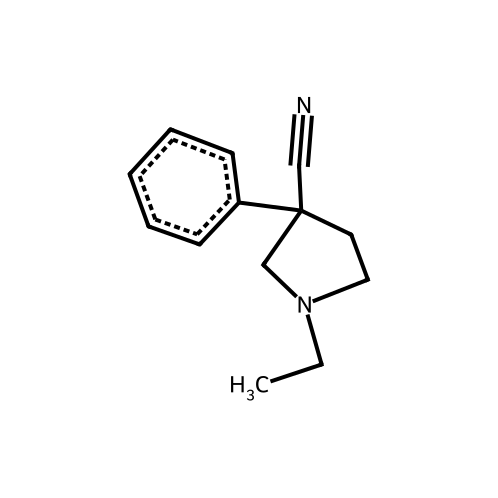 CCN1CCC(C#N)(c2ccccc2)C1